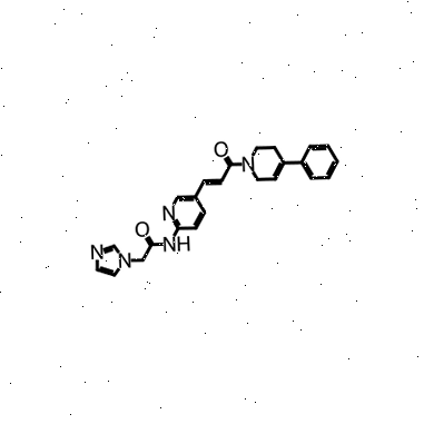 O=C(Cn1ccnc1)Nc1ccc(/C=C/C(=O)N2CC=C(c3ccccc3)CC2)cn1